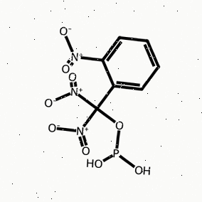 O=[N+]([O-])c1ccccc1C(OP(O)O)([N+](=O)[O-])[N+](=O)[O-]